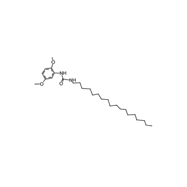 CCCCCCCCCCCCCCCCCCNC(=O)Nc1cc(OC)ccc1OC